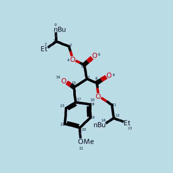 CCCCC(CC)COC(=O)C(C(=O)OCC(CC)CCCC)C(=O)c1ccc(OC)cc1